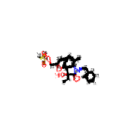 CCC1(O)C(=O)N(Cc2ccccc2)c2c(C)cc3c(c21)OC(COS(C)(=O)=O)C3